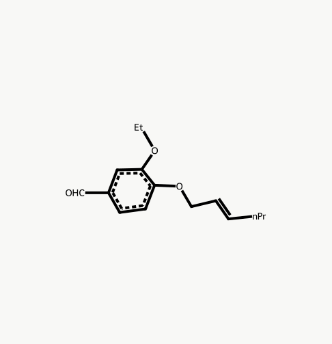 CCC/C=C/COc1ccc(C=O)cc1OCC